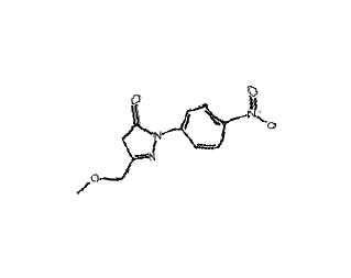 COCC1=NN(c2ccc([N+](=O)[O-])cc2)C(=O)C1